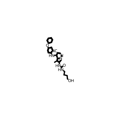 Cc1c(NC(=O)NCCCCO)cn2ncc(C#N)c(Nc3ccc(Oc4ccccc4)cc3)c12